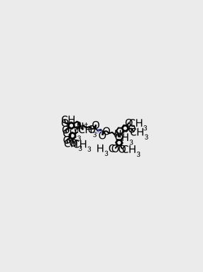 COc1ccc(C[C@@H]2c3cc(OC)c(OC)cc3CC[N@@+]2(C)CCCOC(=O)/C=C/C(=O)OCCC[N@+]2(C)CCc3cc(OC)c(OC)cc3[C@H]2Cc2ccc(OC)c(OC)c2)cc1OC